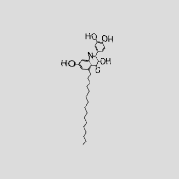 CCCCCCCCCCCCCCCCc1cc(O)cc2c1C(=O)C(O)C(c1ccc(O)c(O)c1)=N2